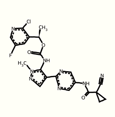 C[C@@H](OC(=O)Nc1c(-c2ncc(NC(=O)C3(C#N)CC3)cn2)cnn1C)c1cc(F)cnc1Cl